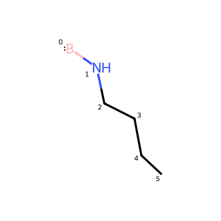 [B]NCCCC